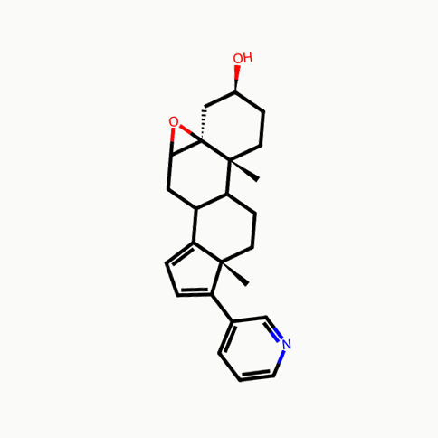 C[C@]12CCC3C(CC4O[C@]45C[C@@H](O)CC[C@]35C)C1=CC=C2c1cccnc1